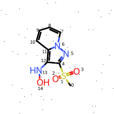 CS(=O)(=O)c1nn2ccccc2c1NO